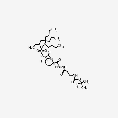 CCCCN(OS(=O)(=O)ON1C(=O)N2C[C@@H]1CC[C@H]2C(=O)NNC(=O)CCNC(=O)OC(C)(C)C)C(CCC)(CCCC)CCCC